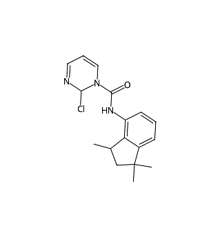 CC1CC(C)(C)c2cccc(NC(=O)N3C=CC=NC3Cl)c21